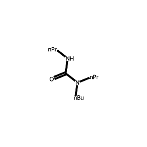 CCCCN(CCC)C(=O)NCCC